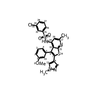 COc1cccc(-c2c(-c3cnn(C)c3)sc3nc(C)cc(NS(=O)(=O)c4cccc(Cl)c4)c23)c1